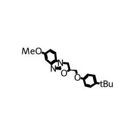 COc1ccc2c(c1)nc1n2C[C@@H](COc2ccc(C(C)(C)C)cc2)O1